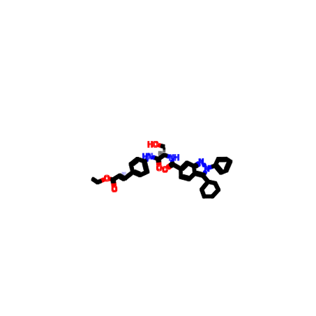 CCOC(=O)/C=C/c1ccc(NC(=O)[C@H](CO)NC(=O)c2ccc3c(C4CCCCC4)n(-c4ccccc4)nc3c2)cc1